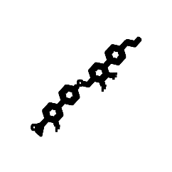 C/C=C/c1ccc(-c2ccc(COc3ccc(-c4ccc(C5CO5)c(F)c4)cc3)c(F)c2F)cc1